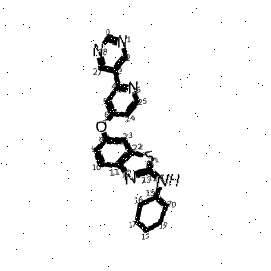 c1ncc(-c2cc(Oc3ccc4nc(NC5CCCCC5)sc4c3)ccn2)cn1